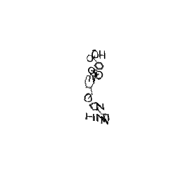 O=C(O)c1cccc(S(=O)(=O)N2CCCC(COc3ccc(-c4ccn[nH]4)nc3)C2)c1